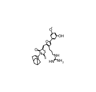 COc1cc(O)cc(-c2cc(CCCNC(=N)N)c(/C=C3\SC(=S)N(C4C5CC6CC(C5)CC4C6)C3=O)o2)c1